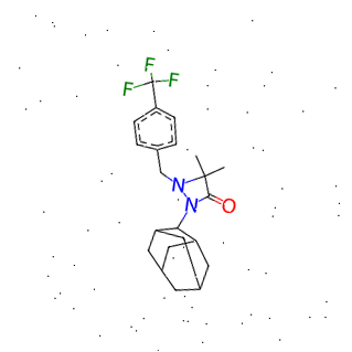 CC1(C)C(=O)N(C2C3CC4CC(C3)CC2C4)N1Cc1ccc(C(F)(F)F)cc1